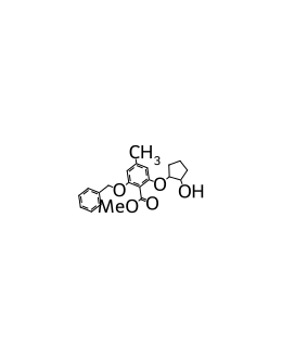 COC(=O)c1c(OCc2ccccc2)cc(C)cc1OC1CCCC1O